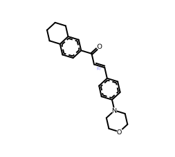 O=C(/C=C/c1ccc(N2CCOCC2)cc1)c1ccc2c(c1)CCCC2